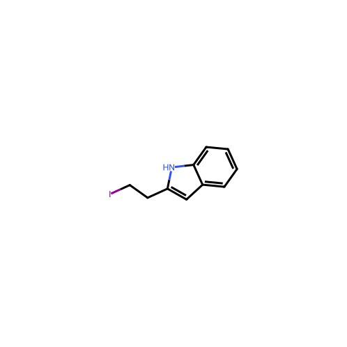 ICCc1cc2ccccc2[nH]1